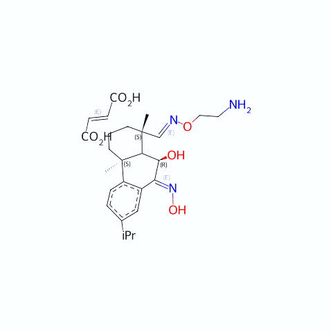 CC(C)c1ccc2c(c1)/C(=N\O)[C@H](O)C1[C@@](C)(/C=N/OCCN)CCC[C@]21C.O=C(O)/C=C/C(=O)O